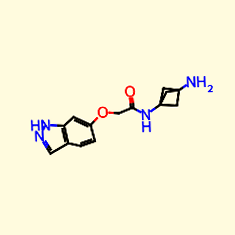 NC12CC(NC(=O)COc3ccc4cn[nH]c4c3)(C1)C2